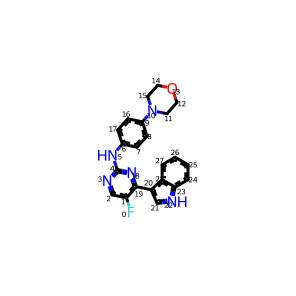 Fc1cnc(Nc2ccc(N3CCOCC3)cc2)nc1-c1c[nH]c2ccccc12